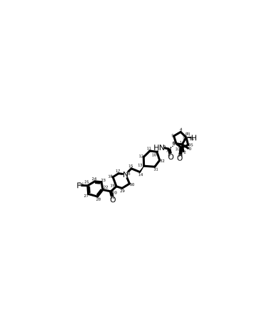 CC1(C)[C@@H]2CC[C@]1(C(=O)N[C@H]1CC[C@H](CCN3CCC(C(=O)c4ccc(F)cc4)CC3)CC1)C(=O)C2